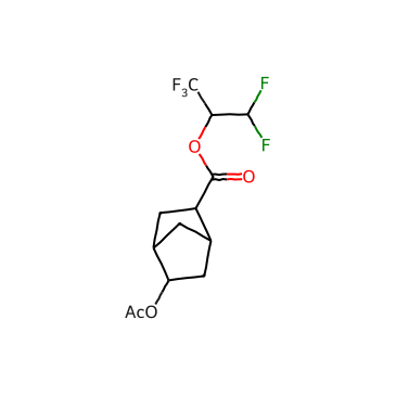 CC(=O)OC1CC2CC1CC2C(=O)OC(C(F)F)C(F)(F)F